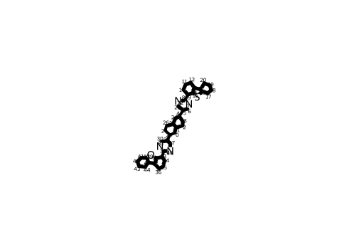 C1=c2ccc(-c3cnc(-c4cccc5c4sc4ccccc45)nc3)cc2=CCC1c1cnc(-c2cccc3c2oc2ccccc23)nc1